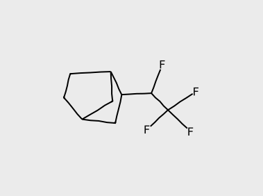 FC(C1CC2CCC1C2)C(F)(F)F